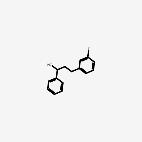 N#CC(CCc1cccc(F)c1)c1ccccc1